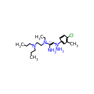 CCCN(CCC)CCN(CC)/C(N)=C/N(N)c1ccc(Cl)c(C)c1